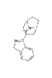 CN1C2CCC1CC(c1nsc3ccccc13)C2